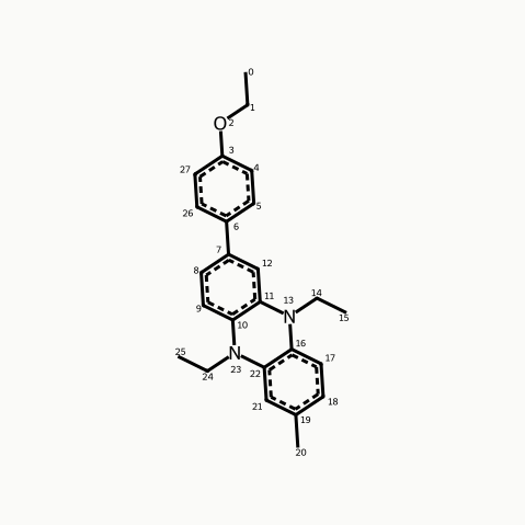 CCOc1ccc(-c2ccc3c(c2)N(CC)c2ccc(C)cc2N3CC)cc1